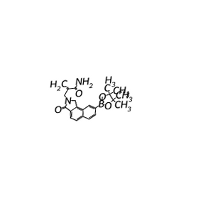 C=C(CN1Cc2c(ccc3ccc(B4OC(C)(C)C(C)(C)O4)cc23)C1=O)C(N)=O